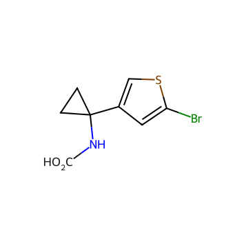 O=C(O)NC1(c2csc(Br)c2)CC1